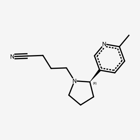 Cc1ccc([C@H]2CCCN2CCCC#N)cn1